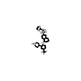 O=S(=O)(Nc1nccs1)c1ccc2c(Oc3ccc(C(F)(F)F)cc3C3CCNCC3)cccc2c1